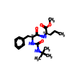 CCC[C@H](NC(=O)[C@H](Cc1ccccc1)NC(=O)NC(C)(C)C)C(=O)OC